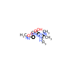 COc1c(Nc2nc(NC(C)c3cn(C)nc3C)ncc2C(=O)O)cccc1-c1nnc(C)o1